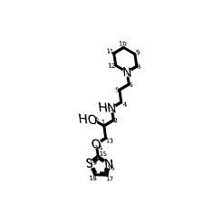 OC(CNCCCN1CCCCC1)COc1nccs1